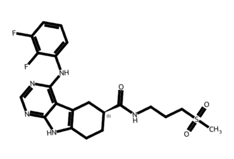 CS(=O)(=O)CCCNC(=O)[C@H]1CCc2[nH]c3ncnc(Nc4cccc(F)c4F)c3c2C1